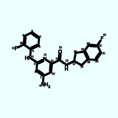 Nc1cc(Nc2ccccc2F)nc(C(=O)NC2Cc3ccc(F)cc3C2)c1